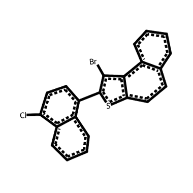 Clc1ccc(-c2sc3ccc4ccccc4c3c2Br)c2ccccc12